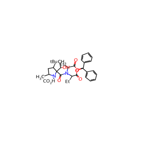 CCC(C(=O)OCc1ccccc1)N(C(=O)C1(C(C)O)C(C(C)(C)C)CC(C)N1C(=O)O)C(CC)C(=O)OCc1ccccc1